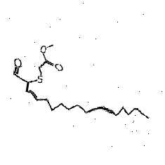 CCCCCCCCCCCC/C=C\C(C=O)SCC(=O)OC